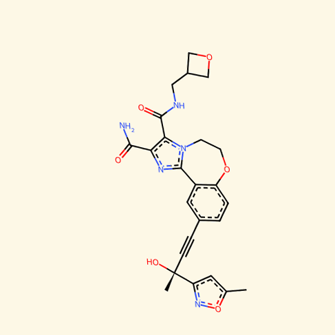 Cc1cc([C@](C)(O)C#Cc2ccc3c(c2)-c2nc(C(N)=O)c(C(=O)NCC4COC4)n2CCO3)no1